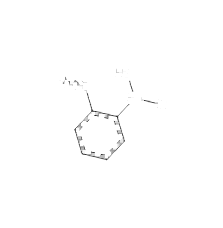 C[CH2][Hg]([SH])[c]1ccccc1C(=O)[O-].[Na+]